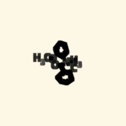 COc1ccccc1NC(=O)c1ccccc1C